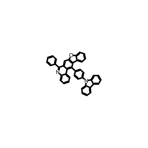 c1ccc(-c2nc3ccccc3c3c(-c4ccc(-n5c6ccccc6c6ccccc65)cc4)c4c(cc23)oc2ccccc24)cc1